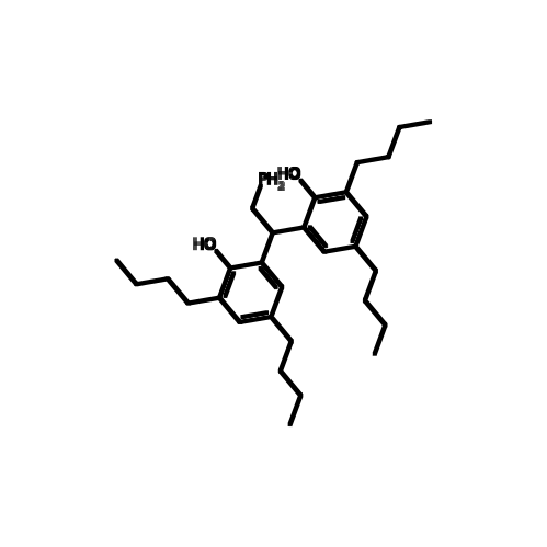 CCCCc1cc(CCCC)c(O)c(C(CP)c2cc(CCCC)cc(CCCC)c2O)c1